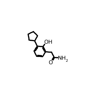 NC(=O)Cc1cccc(C2CCCC2)c1O